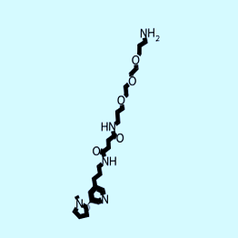 CN1CCC[C@H]1c1cncc(CCCNC(=O)CCC(=O)NCCCOCCOCCOCCCN)c1